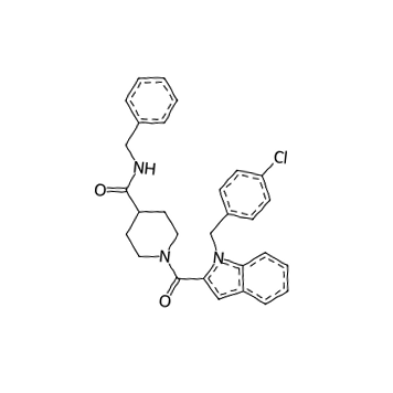 O=C(NCc1ccccc1)C1CCN(C(=O)c2cc3ccccc3n2Cc2ccc(Cl)cc2)CC1